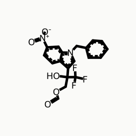 O=COCC(O)(c1cn(Cc2ccccc2)c2cc([N+](=O)[O-])ccc12)C(F)(F)F